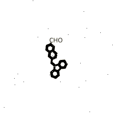 O=Cc1ccc2cc(C=C3c4ccccc4-c4ccccc43)ccc2c1